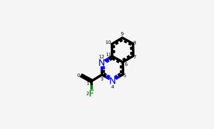 C=C(F)c1ncc2ccccc2n1